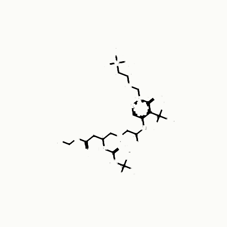 CCOC(=O)CC(COCC(C)Nc1cnn(COCC[Si](C)(C)C)c(=O)c1C(F)(F)F)NC(=O)OC(C)(C)C